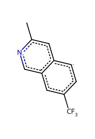 Cc1cc2[c]cc(C(F)(F)F)cc2cn1